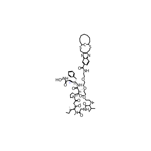 CC[C@H](C)[C@@H]([C@@H](CC(=O)N1CCC[C@H]1[C@H](OC)[C@@H](C)C(=O)N[C@H](/C=C/C(=O)NO)Cc1ccccc1)OC)N(C)C(=O)CNC(=O)C(C(C)C)N(C)CCOCCOCCOCCNC(=O)c1ccc2nc3c(nc2c1)CSC1CCCCCCCC(C1)SC3